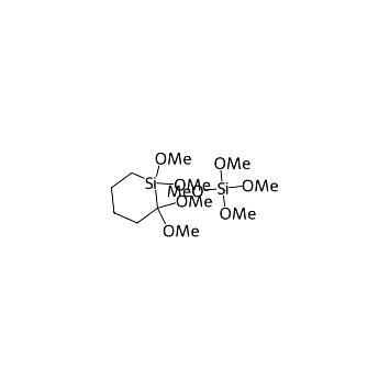 COC1(OC)CCCC[Si]1(OC)OC.CO[Si](OC)(OC)OC